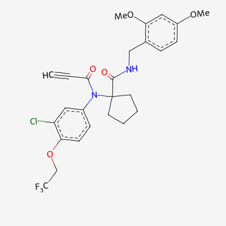 C#CC(=O)N(c1ccc(OCC(F)(F)F)c(Cl)c1)C1(C(=O)NCc2ccc(OC)cc2OC)CCCC1